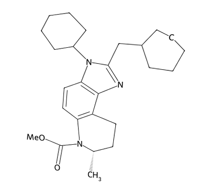 COC(=O)N1c2ccc3c(nc(CC4CCCCC4)n3C3CCCCC3)c2CC[C@@H]1C